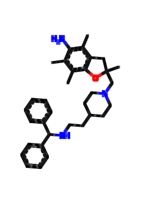 Cc1c(C)c2c(c(C)c1N)CC(C)(CN1CCC(CCNC(c3ccccc3)c3ccccc3)CC1)O2